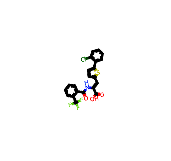 O=C(O)C(=Cc1ccc(-c2ccccc2Cl)s1)NC(=O)c1ccccc1C(F)(F)F